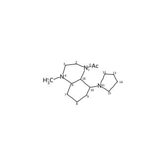 CC(=O)N1CCN(C)C2CCCC(N3CCCC3)C21